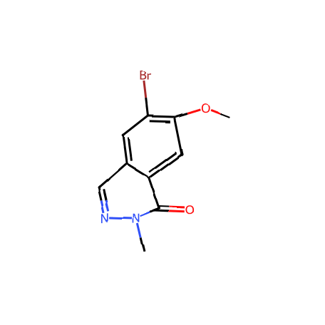 COc1cc2c(=O)n(C)ncc2cc1Br